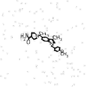 COc1ccc(Cn2cc(C)c3cc(C(C)N4CCC(C(N)=O)CC4)ccc32)cc1